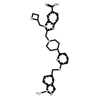 Cn1ncc2cc(COc3cccc(C4CCN(Cc5nc6ccc(C(=O)O)cc6n5CC5CCO5)CC4)n3)ccc21